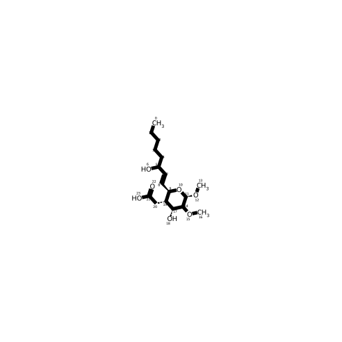 CCCCCC(O)C=C[C@H]1O[C@H](OC)C(OC)[C@H](O)[C@@H]1CC(=O)O